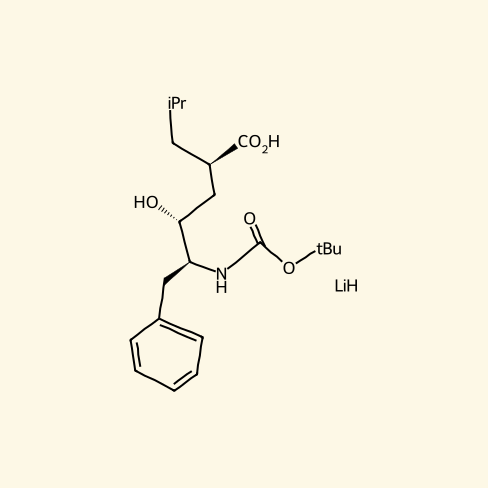 CC(C)C[C@H](C[C@@H](O)[C@H](Cc1ccccc1)NC(=O)OC(C)(C)C)C(=O)O.[LiH]